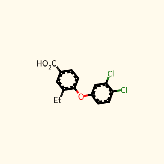 CCc1cc(C(=O)O)ccc1Oc1ccc(Cl)c(Cl)c1